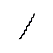 [CH]=C/C=C/C=C/C=C/C=C/CCC